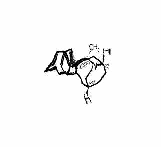 C[C@@H](c1ccccc1)N1C[C@@H]2CC[C@H]1Cc1ccccc1C2